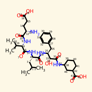 CC(C)C[C@H](NC(=O)[C@@H](NC(=O)[C@@H](N)CCC(=O)O)C(C)C)C(=O)N[C@@H](Cc1ccccc1)[C@@H](O)C(=O)NC1CCCC(C(=O)O)C1